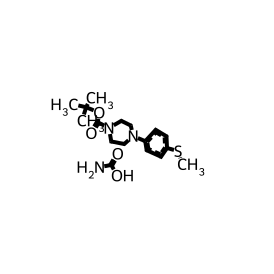 CSc1ccc(N2CCN(C(=O)OC(C)(C)C)CC2)cc1.NC(=O)O